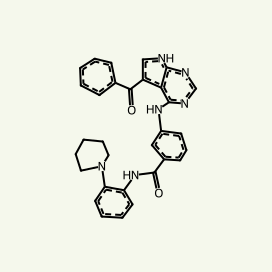 O=C(Nc1ccccc1N1CCCCC1)c1cccc(Nc2ncnc3[nH]cc(C(=O)c4ccccc4)c23)c1